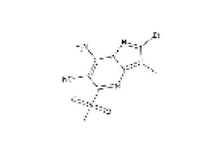 CCc1nn2c(N)c(C#N)c(S(C)(=O)=O)nc2c1C